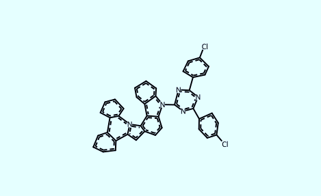 Clc1ccc(-c2nc(-c3ccc(Cl)cc3)nc(-n3c4ccccc4c4c3ccc3cc5c6ccccc6c6ccccc6n5c34)n2)cc1